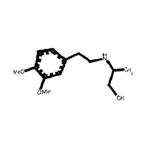 COc1ccc(CCNC(C)CO)cc1OC